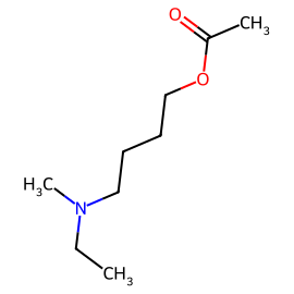 CCN(C)CCCCOC(C)=O